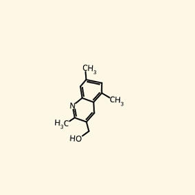 Cc1cc(C)c2cc(CO)c(C)nc2c1